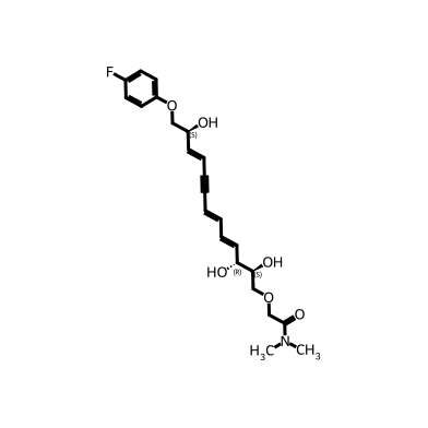 CN(C)C(=O)COC[C@H](O)[C@H](O)C=CC=CC#CC=C[C@H](O)COc1ccc(F)cc1